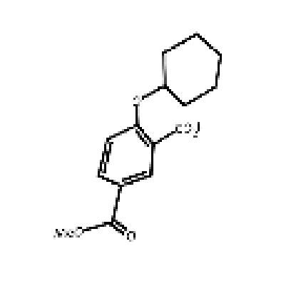 COC(=O)c1ccc(OC2CCCCC2)c(C(=O)O)c1